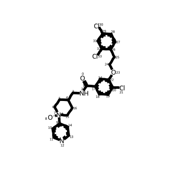 O=C(NCC1CC[N+]([O-])(c2ccncc2)CC1)c1ccc(Cl)c(OCCc2ccc(Cl)cc2Cl)c1